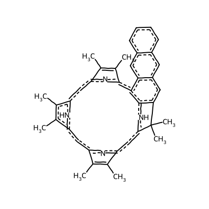 CC1=C(C)c2cc3[nH]c(cc4nc(c5c6[nH]c(cc1n2)C(C)(C)c6cc1cc2ccccc2cc15)C(C)=C4C)c(C)c3C